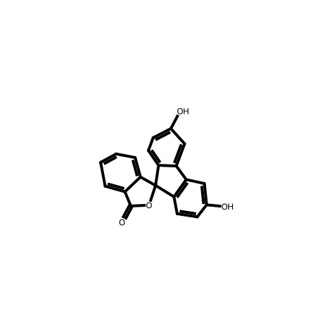 O=C1OC2(c3ccccc31)c1ccc(O)cc1-c1cc(O)ccc12